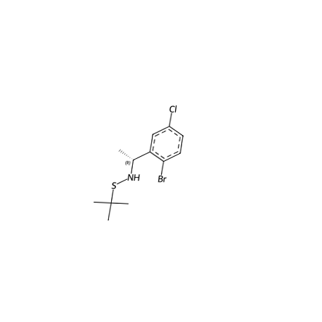 C[C@@H](NSC(C)(C)C)c1cc(Cl)ccc1Br